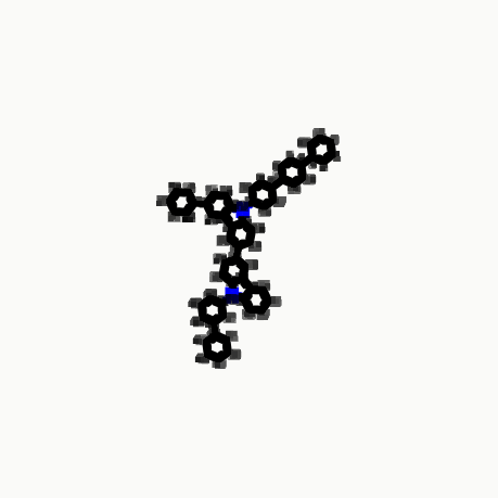 c1ccc(-c2ccc(-c3ccc(-n4c5ccc(-c6ccccc6)cc5c5cc(-c6ccc7c(c6)c6ccccc6n7-c6cccc(-c7ccccc7)c6)ccc54)cc3)cc2)cc1